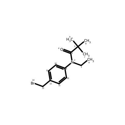 CCN(C(=O)C(C)(C)C)c1ccc(CBr)cc1